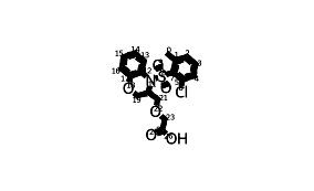 Cc1cccc(Cl)c1S(=O)(=O)N1c2ccccc2OCC1COCC(=O)O